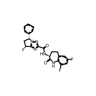 O=C(N[C@H]1CCc2cc(F)cc(F)c2NC1=O)c1nc2n(n1)[C@@H](c1ccccc1)C[C@@H]2F